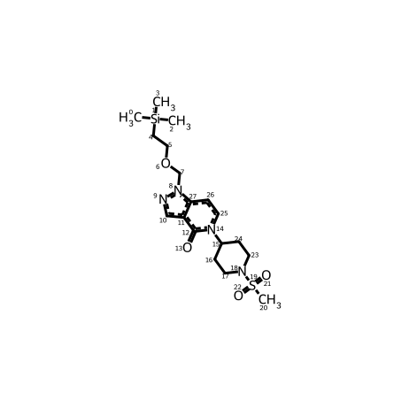 C[Si](C)(C)CCOCn1ncc2c(=O)n(C3CCN(S(C)(=O)=O)CC3)ccc21